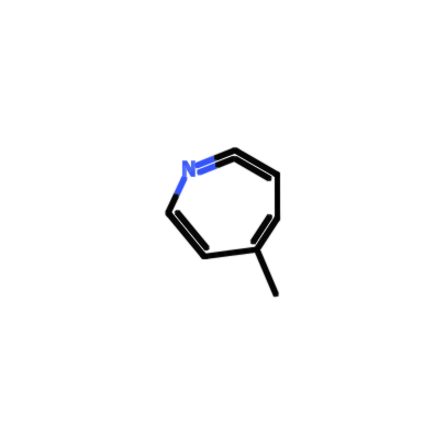 CC1=CC=C=NC=C1